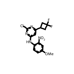 COc1ccc(Nc2cc(C3CC(F)(F)C3)nc(Cl)n2)c([N+](=O)[O-])c1